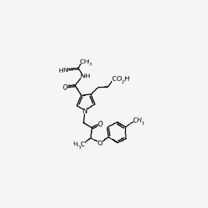 CC(=N)NC(=O)c1cn(CC(=O)C(C)Oc2ccc(C)cc2)cc1CCC(=O)O